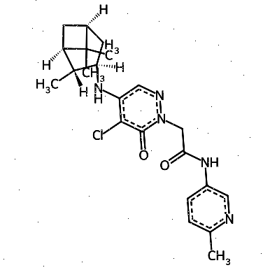 Cc1ccc(NC(=O)Cn2ncc(N[C@@H]3C[C@@H]4C[C@H]([C@H]3C)C4(C)C)c(Cl)c2=O)cn1